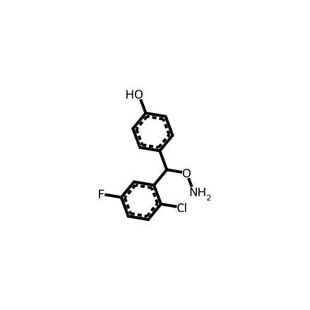 NOC(c1ccc(O)cc1)c1cc(F)ccc1Cl